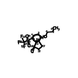 CCCOc1ccc(S(=O)(=O)C(F)(F)F)c2c1CCC2=O